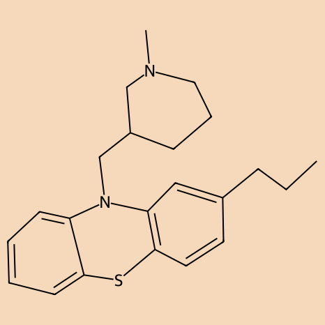 CCCc1ccc2c(c1)N(CC1CCCN(C)C1)c1ccccc1S2